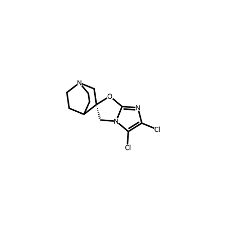 Clc1nc2n(c1Cl)C[C@]1(CN3CCC1CC3)O2